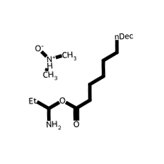 CCCCCCCCCCCCCCCC(=O)OC(N)CC.C[NH+](C)[O-]